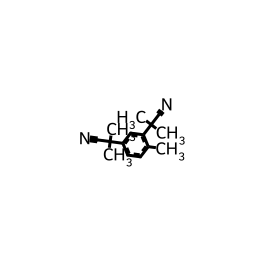 Cc1ccc(C(C)(C)C#N)cc1C(C)(C)C#N